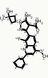 COc1cc(-c2ccccc2)nc2c(F)c(-c3nn([C@H]4C[C@@](C)(O)C4)c(N)c3C(N)=O)ccc12